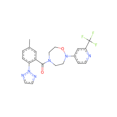 Cc1ccc(-n2nccn2)c(C(=O)N2CCON(c3ccnc(C(F)(F)F)c3)CC2)c1